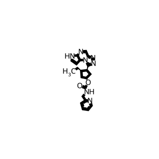 CC[C@@H]1C[C@H](OC(=O)NCc2ccccn2)C[C@@H]1c1nnc2n1C1C=CNC1N=C2